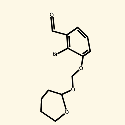 O=Cc1cccc(OCOC2CCCCO2)c1Br